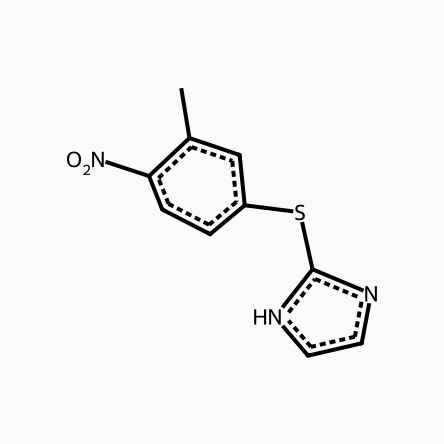 Cc1cc(Sc2ncc[nH]2)ccc1[N+](=O)[O-]